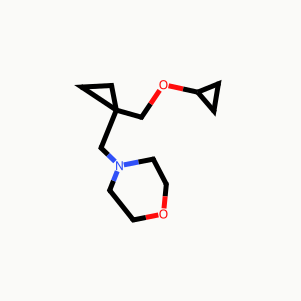 C1CN(CC2(COC3CC3)CC2)CCO1